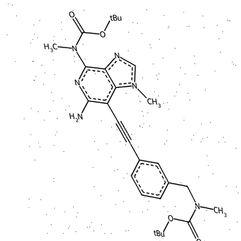 CN(Cc1cccc(C#Cc2c(N)nc(N(C)C(=O)OC(C)(C)C)c3ncn(C)c23)c1)C(=O)OC(C)(C)C